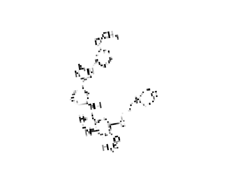 COc1cccc(-n2cc(-c3cccc(Nc4ncnc5cc(OC)c(OCCCN6CCOCC6)cc45)c3)nn2)c1